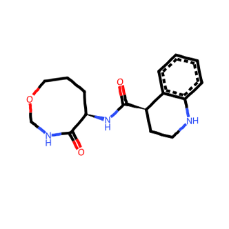 O=C1NCOCCC[C@H]1NC(=O)[C@@H]1CCNc2ccccc21